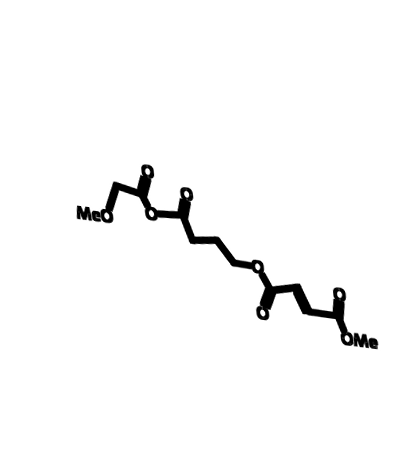 COCC(=O)OC(=O)CCCOC(=O)C=CC(=O)OC